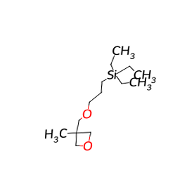 CC[Si](CC)(CC)CCCOCC1(C)COC1